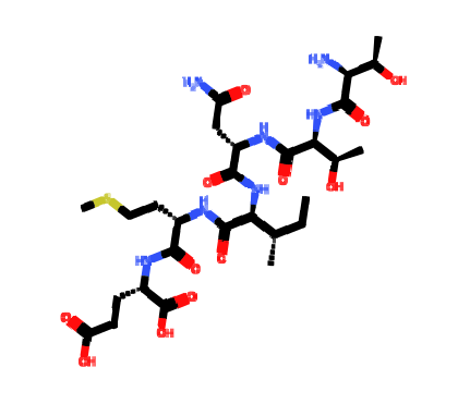 CC[C@H](C)[C@H](NC(=O)[C@H](CC(N)=O)NC(=O)[C@@H](NC(=O)[C@@H](N)[C@@H](C)O)[C@@H](C)O)C(=O)N[C@@H](CCSC)C(=O)N[C@@H](CCC(=O)O)C(=O)O